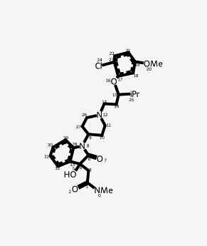 CNC(=O)CC1(O)C(=O)N(C2CCN(CCC(Oc3cc(OC)ccc3Cl)C(C)C)CC2)c2ccccc21